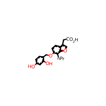 CCCc1c(OCc2ccc(O)cc2O)ccc2c(CC(=O)O)coc12